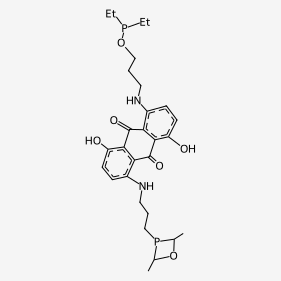 CCP(CC)OCCCNc1ccc(O)c2c1C(=O)c1c(O)ccc(NCCCP3C(C)OC3C)c1C2=O